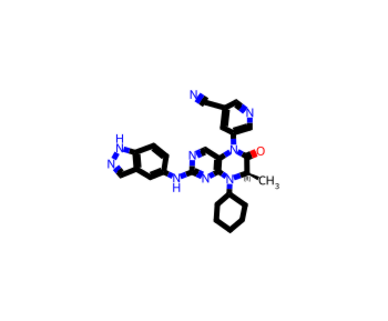 C[C@@H]1C(=O)N(c2cncc(C#N)c2)c2cnc(Nc3ccc4[nH]ncc4c3)nc2N1C1CCCCC1